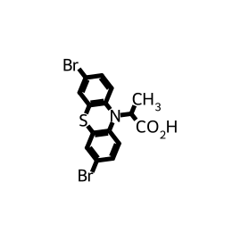 CC(C(=O)O)N1c2ccc(Br)cc2Sc2cc(Br)ccc21